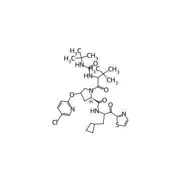 CC(C)(C)NC(=O)NC(C(=O)N1CC(Oc2ccc(Cl)cn2)C[C@@H]1C(=O)NC(CC1CCC1)C(=O)c1nccs1)C(C)(C)C